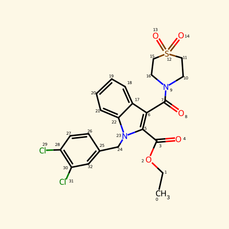 CCOC(=O)c1c(C(=O)N2CCS(=O)(=O)CC2)c2ccccc2n1Cc1ccc(Cl)c(Cl)c1